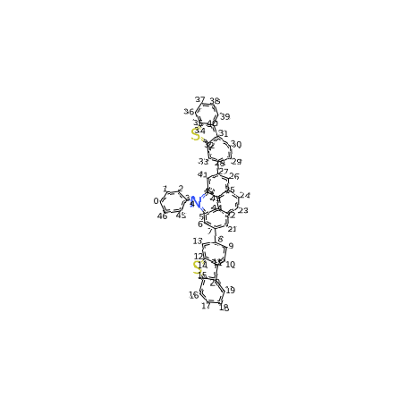 c1ccc(-n2c3cc(-c4ccc5c(c4)sc4ccccc45)cc4ccc5cc(-c6ccc7c(c6)sc6ccccc67)cc2c5c43)cc1